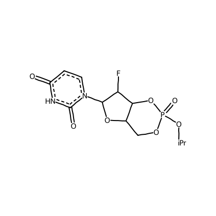 CC(C)OP1(=O)OCC2OC(n3ccc(=O)[nH]c3=O)C(F)C2O1